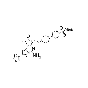 CNS(=O)(=O)c1ccc(N2CCN(CCn3c(=O)n(C)c4c3nc(N)n3nc(-c5ccco5)cc43)CC2)cc1